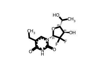 CCc1cn([C@@H]2O[C@H](C(C)O)[C@@H](O)C2(F)F)c(=O)[nH]c1=O